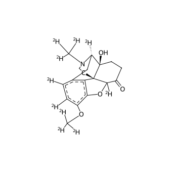 [2H]c1c([2H])c(OC([2H])([2H])[2H])c2c3c1C[C@@]1([2H])N(C([2H])([2H])[2H])CC[C@@]34C([2H])(O2)C(=O)CC[C@@]14O